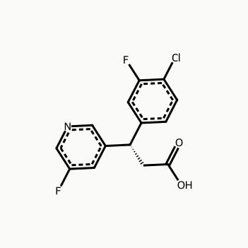 O=C(O)C[C@H](c1cncc(F)c1)c1ccc(Cl)c(F)c1